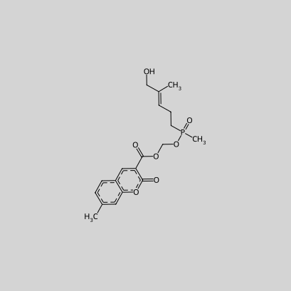 C/C(=C\CCP(C)(=O)OCOC(=O)c1cc2ccc(C)cc2oc1=O)CO